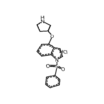 Cl.O=S(=O)(c1ccccc1)n1ccc2c(OC3CCNC3)cccc21